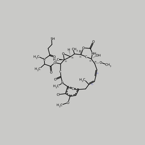 COc1cc2cc(c1Cl)N(C)C(=O)CC(OC(=O)C(C)N(C)C(=O)CCS)[C@]1(C)O[C@H]1C(C)[C@@H]1C[C@@](O)(NC(=O)O1)[C@H](OC)/C=C/C=C(\C)C2